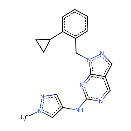 Cn1cc(Nc2ncc3cnn(Cc4ccccc4C4CC4)c3n2)cn1